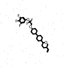 C=CC1CCC(C2CCC(C3CCC(OCC(F)(F)Oc4cc(F)c(F)c(F)c4)CC3)CC2)OC1